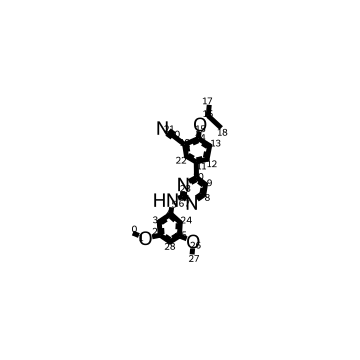 COc1cc(Nc2nccc(-c3ccc(OC(C)C)c(C#N)c3)n2)cc(OC)c1